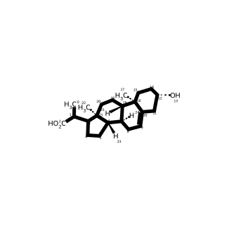 CC(C(=O)O)C1CC[C@H]2[C@@H]3CC=C4C[C@@H](O)CC[C@]4(C)[C@H]3CC[C@]12C